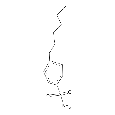 CCCCCCc1ccc(S(N)(=O)=O)cc1